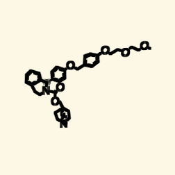 COCCOCCOc1ccc(COc2ccc([C@H]3c4ccccc4CCN3C(=O)OCC34CCN(CC3)CC4)cc2)cc1